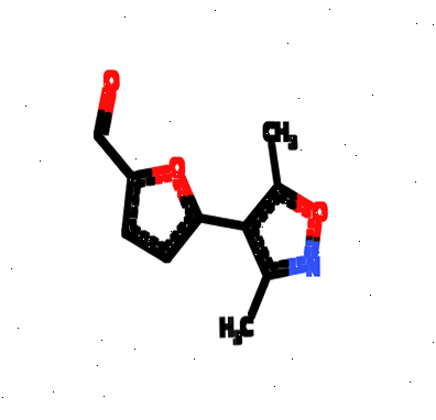 Cc1noc(C)c1-c1ccc(C=O)o1